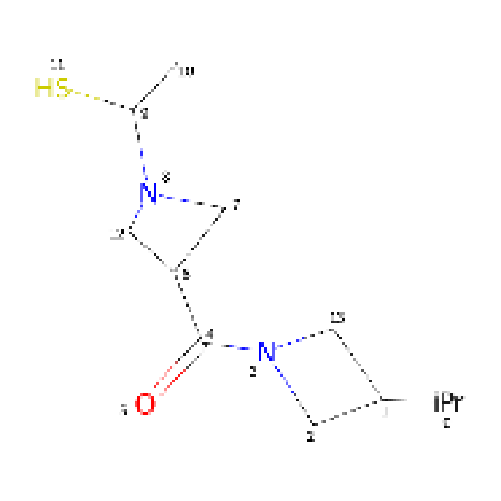 CC(C)C1CN(C(=O)C2CN(C(C)S)C2)C1